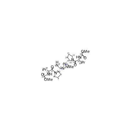 CN/C(=N\N=C(/N)[C@@H]1CCCN1C(=O)C(NC(=O)OC)C(C)C)[C@@H]1CCCN1C(=O)C(NC(=O)OC)C(C)C